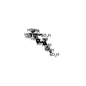 O=[SH](=O)c1cc(Nc2ncnc(NCCS(=O)(=O)O)n2)ccc1C=Cc1ccc(Nc2nc(NCCS(=O)(=O)O)nc(N(C(CO)CO)C(CO)CO)n2)cc1S(=O)(=O)O